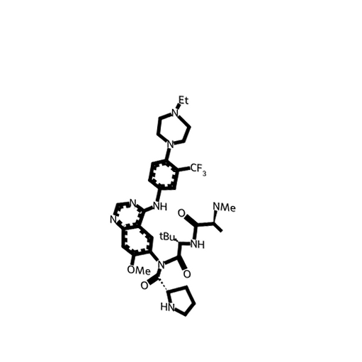 CCN1CCN(c2ccc(Nc3ncnc4cc(OC)c(N(C(=O)[C@@H]5CCCN5)C(=O)[C@@H](NC(=O)[C@H](C)NC)C(C)(C)C)cc34)cc2C(F)(F)F)CC1